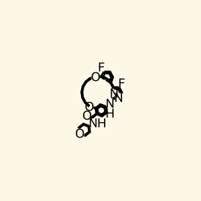 O=C(NC1CCOCC1)c1ccc2cc1OCCCCCCOc1cc(ccc1F)-c1nc(ncc1F)N2